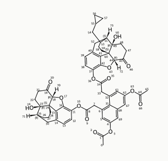 CC(=O)Oc1cc(CC(=O)Oc2ccc3c4c2O[C@H]2C(=O)CC[C@@]5(O)[C@H](CCC[C@]425)C3)c2c(CC(=O)Oc3ccc4c5c3O[C@H]3C(=O)CC[C@@]6(O)[C@@H](C4)C(CC4CC4)CC[C@]536)cc(OC(C)=O)cc2c1